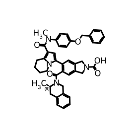 C[C@@H]1Cc2ccccc2CN1C(=O)c1cc2c(cc1-c1cc(C(=O)N(C)c3ccc(OCc4ccccc4)cc3)c3n1CCCC3)CN(C(=O)O)C2